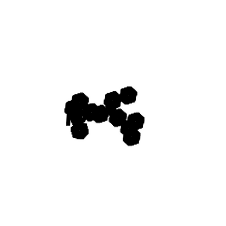 c1ccc(-c2cccc(N(c3ccc(-c4cc5ccccc5c5ccccc45)cc3)c3ccc4ccc(-c5cccc6ccc7nc(-c8ccccc8)oc7c56)cc4c3)c2)cc1